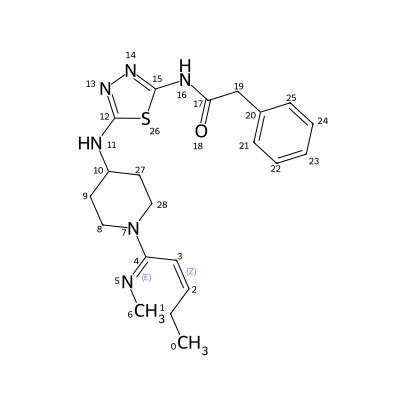 CC/C=C\C(=N/C)N1CCC(Nc2nnc(NC(=O)Cc3ccccc3)s2)CC1